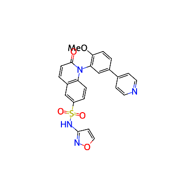 COc1ccc(-c2ccncc2)cc1-n1c(=O)ccc2cc(S(=O)(=O)Nc3ccon3)ccc21